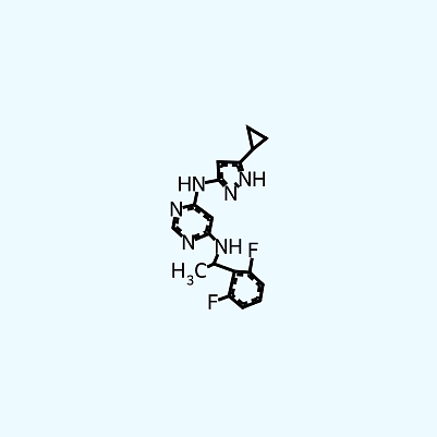 CC(Nc1cc(Nc2cc(C3CC3)[nH]n2)ncn1)c1c(F)cccc1F